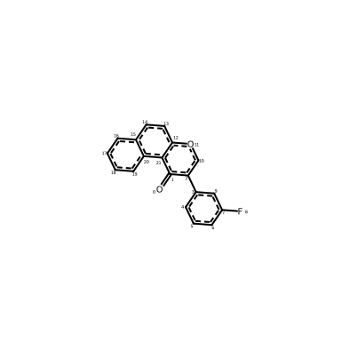 O=c1c(-c2cccc(F)c2)coc2ccc3ccccc3c12